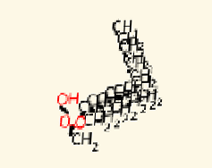 C=CC.C=CC.C=CC.C=CC.C=CC.C=CC.C=CC.C=CC.C=CC.C=CC.C=CC(=O)OCCO